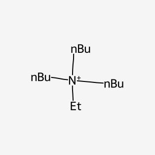 CCCC[N+](CC)(CCCC)CCCC